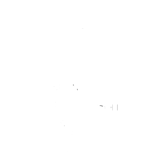 COCCCCN1C[C@@H](O)c2cc(Cl)sc2S1(=O)=O